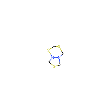 C1SCN2CSCN2S1